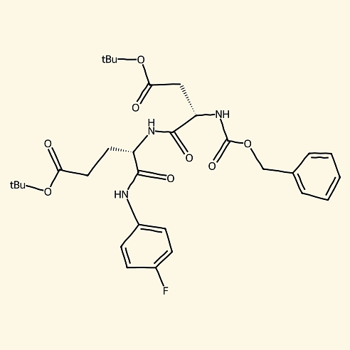 CC(C)(C)OC(=O)CC[C@H](NC(=O)[C@H](CC(=O)OC(C)(C)C)NC(=O)OCc1ccccc1)C(=O)Nc1ccc(F)cc1